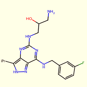 CC(C)c1[nH]nc2c(NCc3cccc(F)c3)nc(NCC(O)CN)nc12